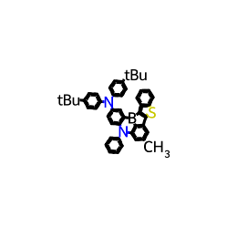 Cc1cc2c3c(c1)N(c1ccccc1)c1ccc(N(c4ccc(C(C)(C)C)cc4)c4ccc(C(C)(C)C)cc4)cc1B3c1c-2sc2ccccc12